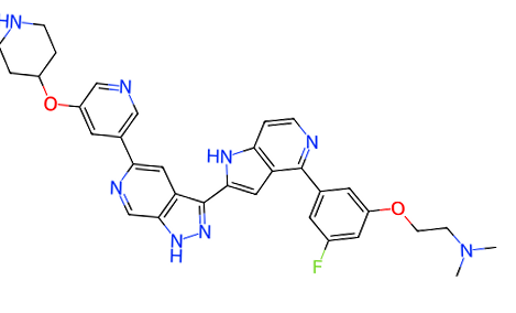 CN(C)CCOc1cc(F)cc(-c2nccc3[nH]c(-c4n[nH]c5cnc(-c6cncc(OC7CCNCC7)c6)cc45)cc23)c1